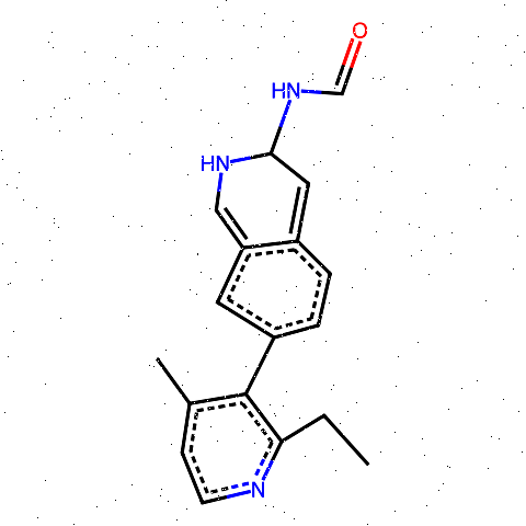 CCc1nccc(C)c1-c1ccc2c(c1)=CNC(NC=O)C=2